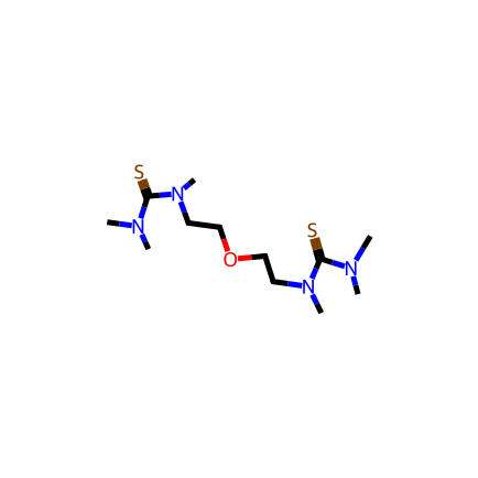 CN(C)C(=S)N(C)CCOCCN(C)C(=S)N(C)C